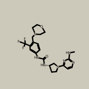 CNc1nccc(N2CC[C@H](NC(=O)Nc3ccc(CN4CCOCC4)c(C(F)(F)F)c3)C2)n1